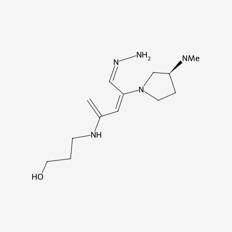 C=C(/C=C(\C=N/N)N1CC[C@H](NC)C1)NCCCO